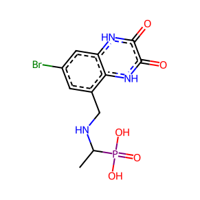 CC(NCc1cc(Br)cc2[nH]c(=O)c(=O)[nH]c12)P(=O)(O)O